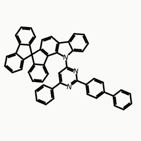 c1ccc(-c2ccc(-c3nc(-c4ccccc4)cc(-n4c5ccccc5c5ccc6c(c54)-c4ccccc4C64c5ccccc5-c5ccccc54)n3)cc2)cc1